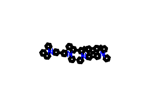 Cc1cccc(N(c2ccccc2)c2ccc3c(c2)C2(c4ccccc4-c4ccccc42)c2cc(N(c4ccccc4)c4cc(C)cc(-c5cc(N(c6ccccc6)c6ccc(-c7ccc(N(c8ccccc8)c8cccc9ccccc89)cc7)cc6)c6ccccc6c5)c4)ccc2-3)c1